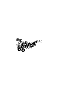 CC(=O)OCOC(=O)Nc1ncnn2c([C@]3(C#N)O[C@H](CO[Si](c4ccccc4)(c4ccccc4)C(C)(C)C)[C@@H](OC(=O)[C@@H](NC(=O)OC(C)(C)C)C(C)(C)C)[C@H]3O[Si](C)(C)C)ccc12